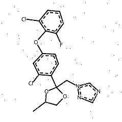 CC1COC(Cn2cncn2)(c2ccc(Oc3c(F)cccc3Cl)cc2Cl)O1